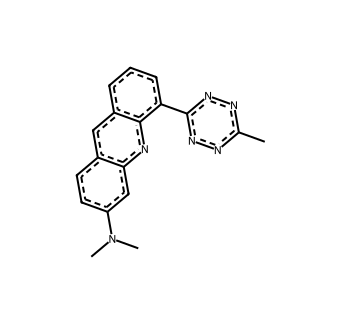 Cc1nnc(-c2cccc3cc4ccc(N(C)C)cc4nc23)nn1